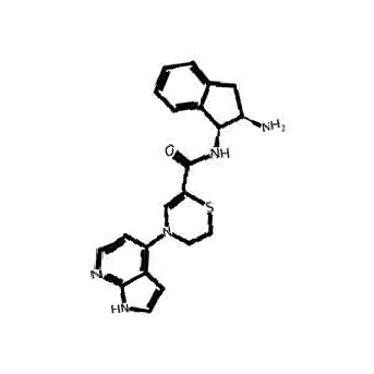 N[C@@H]1Cc2ccccc2[C@@H]1NC(=O)C1=CN(c2ccnc3[nH]ccc23)CCS1